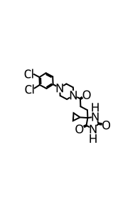 O=C1NC(=O)C(CCC(=O)N2CCN(c3ccc(Cl)c(Cl)c3)CC2)(C2CC2)N1